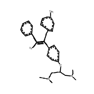 CCC(=C(c1ccc(O)cc1)c1ccc(OC(CN(C)C)CN(C)C)cc1)c1ccccc1